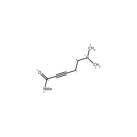 CNC(=O)C#CCCN(C)C